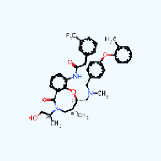 Cc1ccccc1Oc1ccc(CN(C)C[C@H]2Oc3c(NC(=O)Cc4cccc(C(F)(F)F)c4)cccc3C(=O)N([C@@H](C)CO)C[C@H]2C)cc1